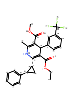 CCOC(=O)C1=C([C@@H]2C[C@H]2c2ccccc2)NC(C)=C(C(=O)OC)C1c1cccc(C(F)(F)F)c1